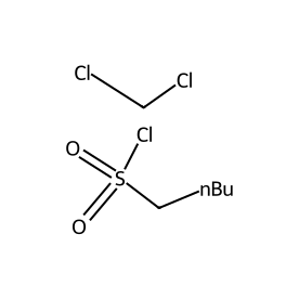 CCCCCS(=O)(=O)Cl.ClCCl